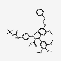 COC(=O)C1=C(c2cc(OC)c(OC)c(OC)c2)c2cc(OC)c(OCCc3ccccc3)cc2CN1c1ccc(NC(=O)OC(C)(C)C)cc1